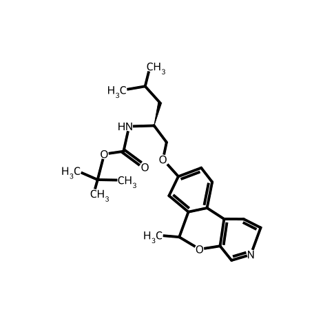 CC(C)C[C@@H](COc1ccc2c(c1)C(C)Oc1cnccc1-2)NC(=O)OC(C)(C)C